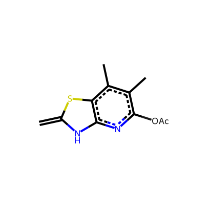 C=C1Nc2nc(OC(C)=O)c(C)c(C)c2S1